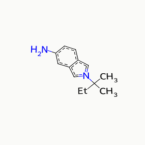 CCC(C)(C)n1cc2ccc(N)cc2c1